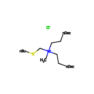 CCCCCCCCCCCC[N+](C)(CCCCCCCCCCCC)CSCCCC.[Cl-]